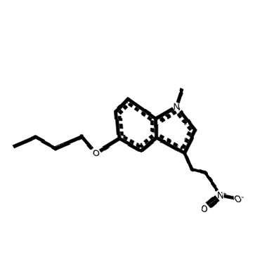 CCCCOc1ccc2c(c1)c(CC[N+](=O)[O-])cn2C